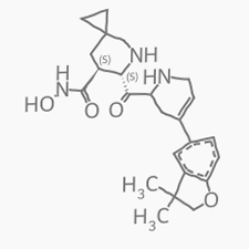 CC1(C)COc2ccc(C3=CCNC(C(=O)[C@H]4NCC5(CC5)C[C@@H]4C(=O)NO)C3)cc21